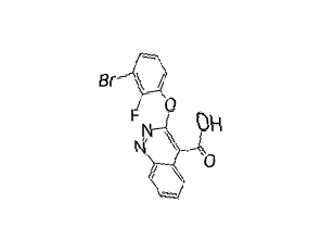 O=C(O)c1c(Oc2cccc(Br)c2F)nnc2ccccc12